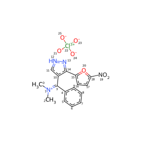 C[N+](C)=C(c1ccccc1)c1c[nH]nc1-c1ccc([N+](=O)[O-])o1.[O-][Cl+3]([O-])([O-])[O-]